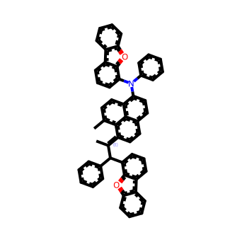 C/C(=c1/ccc2ccc(N(c3ccccc3)c3cccc4c3oc3ccccc34)c3ccc(C)c1c23)C(c1ccccc1)c1cccc2c1oc1ccccc12